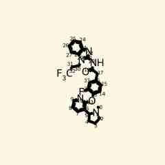 CN1CCCC1c1cccnc1Oc1ccc(CC(=O)Nc2nc3ccccc3n2CCC(F)(F)F)cc1F